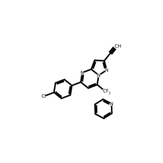 C#Cc1cc2nc(-c3ccc(Cl)cc3)cc(C(F)(F)F)n2n1.c1ccncc1